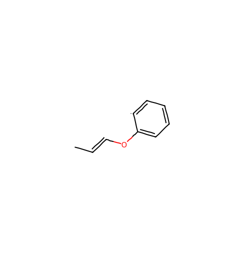 CC=COc1[c]cccc1